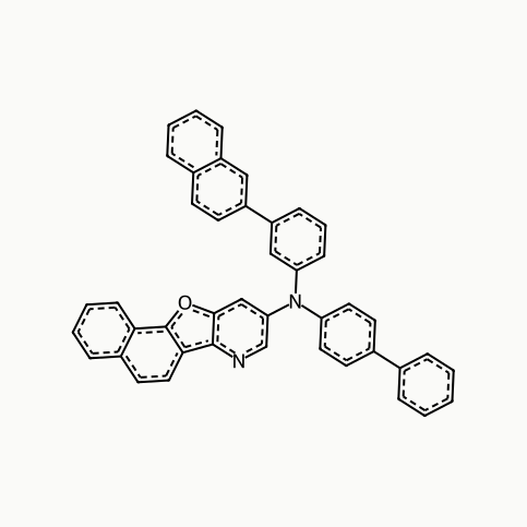 c1ccc(-c2ccc(N(c3cccc(-c4ccc5ccccc5c4)c3)c3cnc4c(c3)oc3c5ccccc5ccc43)cc2)cc1